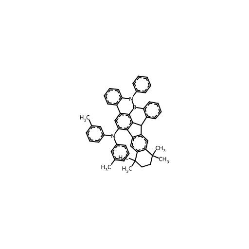 Cc1cccc(N(c2cccc(C)c2)c2cc3c4c5c2-c2cc6c(cc2C5c2ccccc2B4N(c2ccccc2)c2ccccc2-3)C(C)(C)CCC6(C)C)c1